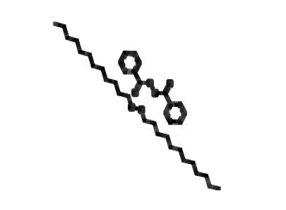 CCCCCCCCCCCCOOCCCCCCCCCCCC.O=C(OOC(=O)c1ccccc1)c1ccccc1